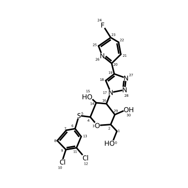 OCC1OC(Sc2ccc(Cl)c(Cl)c2)C(O)C(n2cc(-c3ccc(F)cn3)nn2)C1O